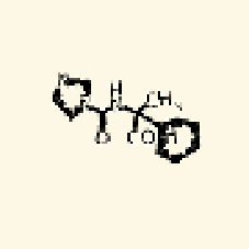 CC(NC(=O)n1ccnc1)(C(=O)O)c1ccccc1